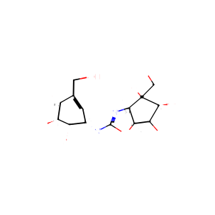 OCC1=C[C@H](NC2=N[C@@H]3[C@H](O2)C(O)[C@H](O)C3(O)CO)[C@H](O)[C@@H](O)[C@@H]1O